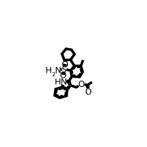 CC(=O)OCc1c(-c2ccc(C)c(C3CCCCC3)c2S(N)(=O)=O)[nH]c2ccccc12